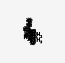 Cc1cc(C)c(B2c3ccccc3-n3c4cc(-c5ccc(-c6ccccc6)cc5)c5ccccc5c4c4c5ccccc5c(-c5ccc(-c6ccccc6)cc5)c2c43)c(C)c1